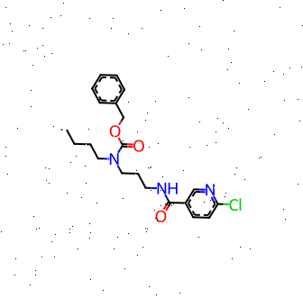 [CH2]CCCN(CCCNC(=O)c1ccc(Cl)nc1)C(=O)OCc1ccccc1